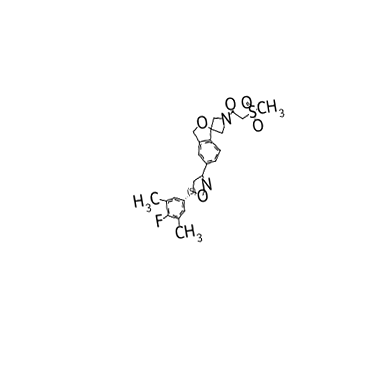 Cc1cc([C@@H]2CC(c3ccc4c(c3)COC43CN(C(=O)CS(C)(=O)=O)C3)=NO2)cc(C)c1F